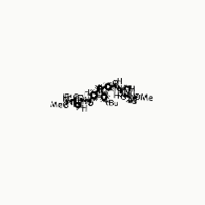 COC(=O)N[C@H](C(=O)N1CCC[C@H]1C(=O)NNC(=O)c1ccc(C2CCC(c3ccc(C(=O)NNC(=O)[C@@H]4CCCN4C(=O)[C@@H](NC(=O)OC)C(C)C)cc3)N2c2ccc(C(C)(C)C)cc2)cc1)C(C)C